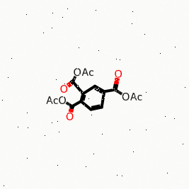 CC(=O)OC(=O)c1ccc(C(=O)OC(C)=O)c(C(=O)OC(C)=O)c1